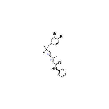 CC(/C=C/C1(F)CC1c1ccc(Br)c(Br)c1)=C\C(=O)Nc1ccccc1